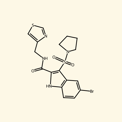 O=C(NCc1cscn1)c1[nH]c2ccc(Br)cc2c1S(=O)(=O)N1CCCC1